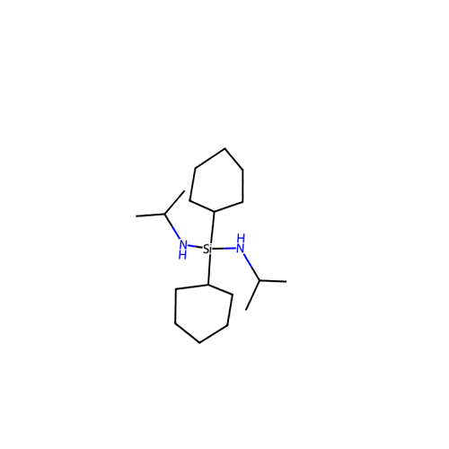 CC(C)N[Si](NC(C)C)(C1CCCCC1)C1CCCCC1